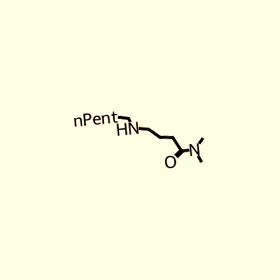 CCCCCCNCCCC(=O)N(C)C